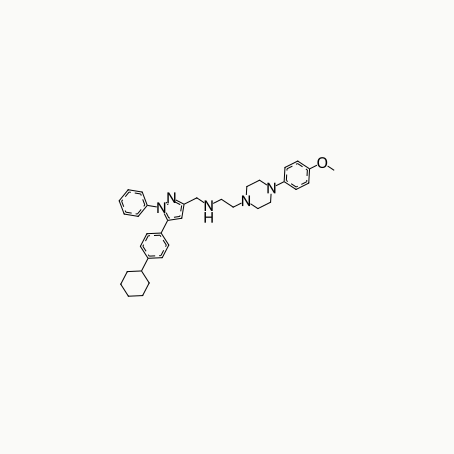 COc1ccc(N2CCN(CCNCc3cc(-c4ccc(C5CCCCC5)cc4)n(-c4ccccc4)n3)CC2)cc1